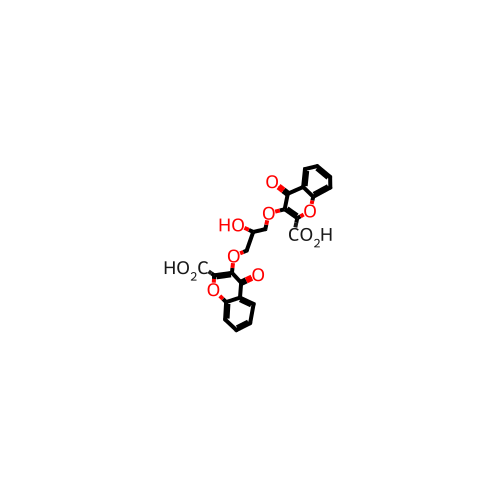 O=C(O)c1oc2ccccc2c(=O)c1OCC(O)COc1c(C(=O)O)oc2ccccc2c1=O